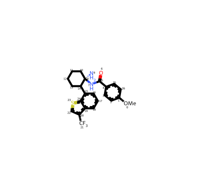 COc1ccc(C(=O)N[C@]2(N)CCCCC2c2cccc3c(C(F)(F)F)csc23)cc1